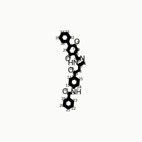 O=C1C=C(c2ncc(CC(=O)c3ccc(NC(=O)c4ccccc4)cc3)[nH]2)C(=O)C=C1c1ccccc1